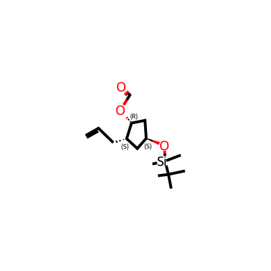 C=CC[C@H]1C[C@H](O[Si](C)(C)C(C)(C)C)C[C@H]1OC=O